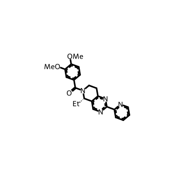 CC[C@H]1c2cnc(-c3ccccn3)nc2CCN1C(=O)c1ccc(OC)c(OC)c1